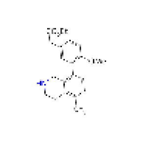 CCOC(=O)Cc1ccc(OC)c(-c2ccc(C(F)(F)F)c3c2CNCC3)c1